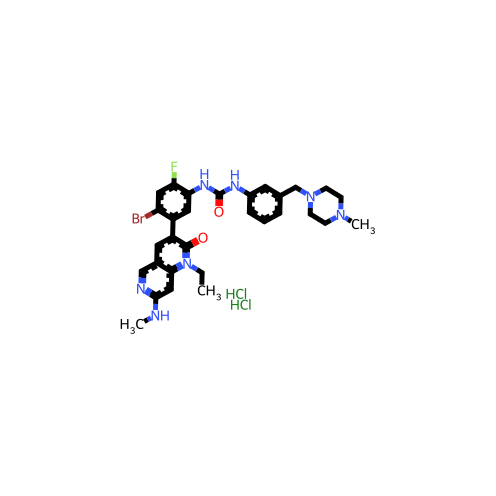 CCn1c(=O)c(-c2cc(NC(=O)Nc3cccc(CN4CCN(C)CC4)c3)c(F)cc2Br)cc2cnc(NC)cc21.Cl.Cl